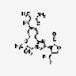 C[C@H](Nc1ccc2c(c1)OC(C)(C)Cn1cc(N3C(=C=O)OC[C@H]3C(F)F)nc1-2)C(N)=O